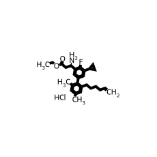 C=CCCCCc1cc(C)cc(C)c1-c1cc(C2CC2)c(F)c([C@@H](N)CC(=O)OCC)c1.Cl